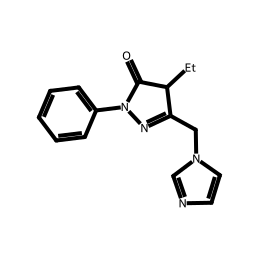 CCC1C(=O)N(c2ccccc2)N=C1Cn1ccnc1